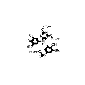 CCCCCCCCOC(=O)Nc1cc(C(C)(C)C)c(O)c(C(C)(C)C)c1.CCCCCCCCSc1nc(Nc2cc(C(C)(C)C)c(O)c(C(C)(C)C)c2)nc(SCCCCCCCC)n1